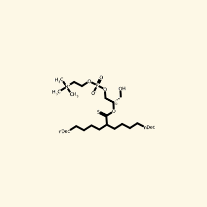 CCCCCCCCCCCCCCC(CCCCCCCCCCCCCC)C(=S)O[C@@H](CO)COP(=O)([O-])OCC[N+](C)(C)C